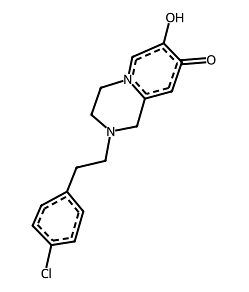 O=c1cc2n(cc1O)CCN(CCc1ccc(Cl)cc1)C2